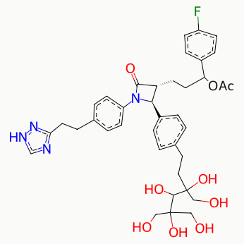 CC(=O)OC(CC[C@H]1C(=O)N(c2ccc(CCc3nc[nH]n3)cc2)[C@@H]1c1ccc(CCC(O)(CO)C(O)C(O)(CO)CO)cc1)c1ccc(F)cc1